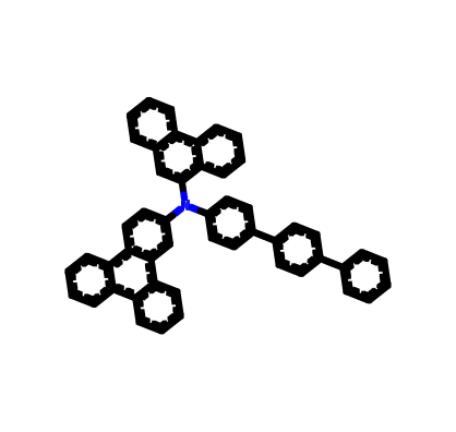 c1ccc(-c2ccc(-c3ccc(N(c4ccc5c6ccccc6c6ccccc6c5c4)c4cc5ccccc5c5ccccc45)cc3)cc2)cc1